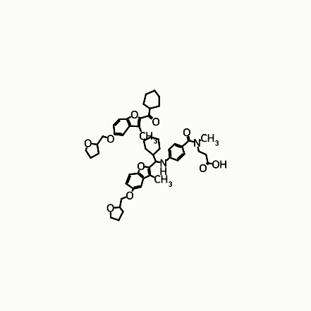 Cc1c(C(=O)C2CCCCC2)oc2ccc(OCC3CCCO3)cc12.Cc1c(C(Nc2ccc(C(=O)N(C)CCC(=O)O)cc2)C2CCCCC2)oc2ccc(OCC3CCCO3)cc12